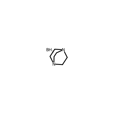 B.C1CN2CCN1CC2